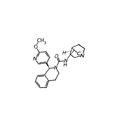 COc1ccc([C@@H]2c3ccccc3CCN2C(=O)N[C@@H]2CN3CCC2CC3)cn1